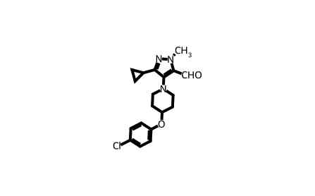 Cn1nc(C2CC2)c(N2CCC(Oc3ccc(Cl)cc3)CC2)c1C=O